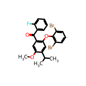 COc1cc(C(=O)c2ccccc2F)c(Oc2c(Br)c[c]cc2Br)cc1C(C)C